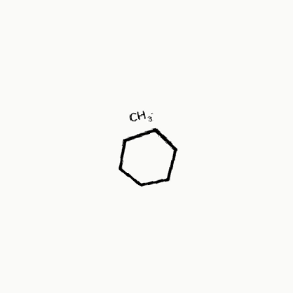 C1CCCCC1.[CH3]